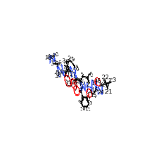 CC(C)C[C@@H](NC(=O)c1ccccc1OCc1noc(C(C)(C)C)n1)C(=O)N1CCC[C@@H]1C(=O)N(C)CCN(C)C